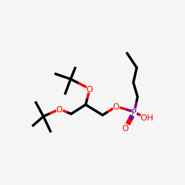 CCCCP(=O)(O)OCC(COC(C)(C)C)OC(C)(C)C